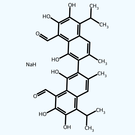 Cc1cc2c(C(C)C)c(O)c(O)c(C=O)c2c(O)c1-c1c(C)cc2c(C(C)C)c(O)c(O)c(C=O)c2c1O.[NaH]